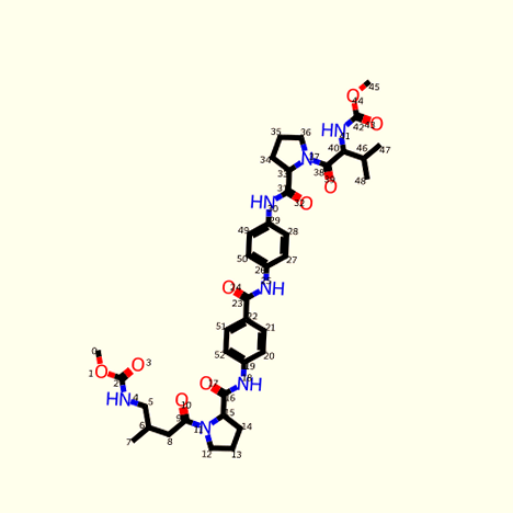 COC(=O)NCC(C)CC(=O)N1CCCC1C(=O)Nc1ccc(C(=O)Nc2ccc(NC(=O)C3CCCN3C(=O)C(NC(=O)OC)C(C)C)cc2)cc1